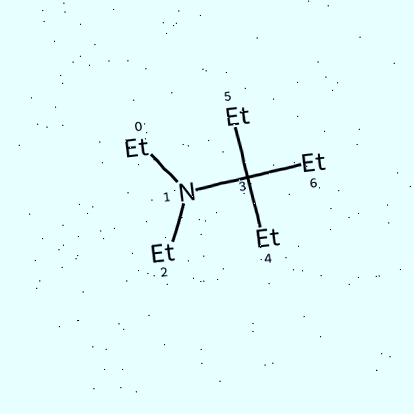 CCN(CC)C(CC)(CC)CC